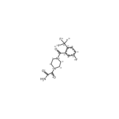 NC(=O)C(=O)N1CCN(C(=O)c2cc(F)ccc2C(F)(F)F)CC1